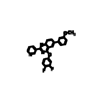 COc1cccc(-c2ccc3nc(-c4cccnc4)nc(Oc4ccc(F)c(F)c4)c3c2)c1